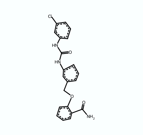 NC(=O)c1ccccc1OCc1cccc(NC(=O)Nc2cccc(Cl)c2)c1